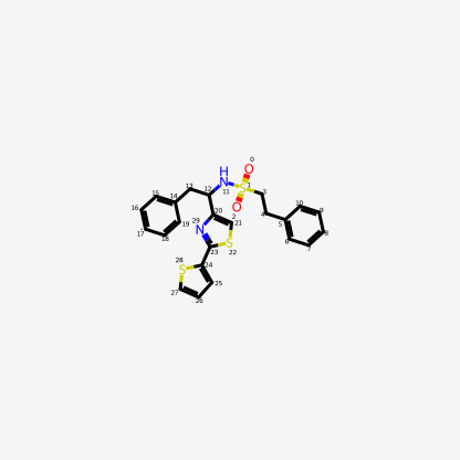 O=S(=O)(CCc1ccccc1)NC(Cc1cc[c]cc1)c1csc(-c2cccs2)n1